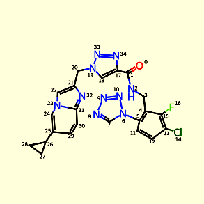 O=C(NCc1c(-n2cnnn2)ccc(Cl)c1F)c1cn(Cc2cn3cc(C4CC4)ccc3n2)nn1